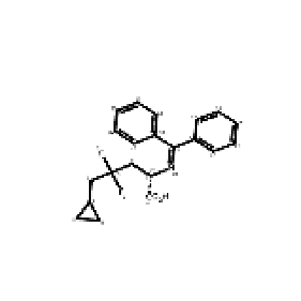 O=C(O)[C@H](CC(F)(F)CC1CC1)N=C(c1ccccc1)c1ccccc1